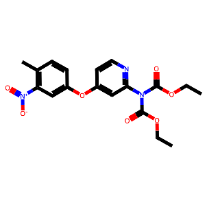 CCOC(=O)N(C(=O)OCC)c1cc(Oc2ccc(C)c([N+](=O)[O-])c2)ccn1